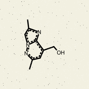 Cc1cn2nc(C)cc(CO)c2n1